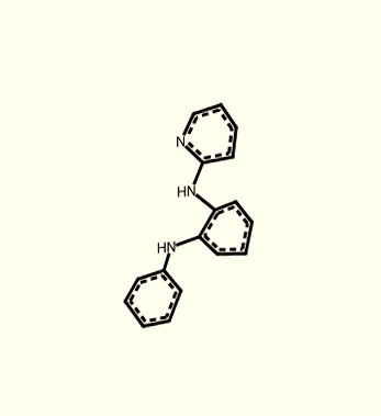 c1ccc(Nc2ccccc2Nc2ccccn2)cc1